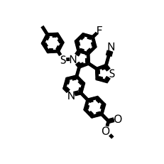 COC(=O)c1ccc(-c2cc(-c3c(-c4ccsc4C#N)c4cc(F)ccc4n3Sc3ccc(C)cc3)ccn2)cc1